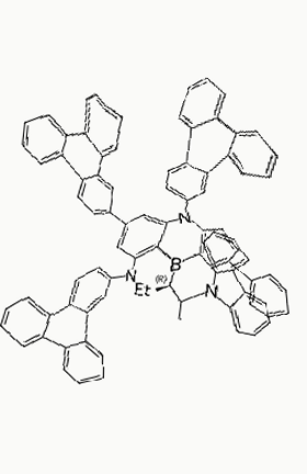 CCN(c1ccc2c3ccccc3c3ccccc3c2c1)c1cc(-c2ccc3c4ccccc4c4ccccc4c3c2)cc2c1B([C@H](C)C(C)n1c3ccccc3c3ccccc31)c1cc(-c3ccccc3)ccc1N2c1ccc2c3ccccc3c3ccccc3c2c1